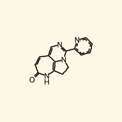 O=C1C=CC2=CN=C(c3ccccn3)N3CCC(=C23)N1